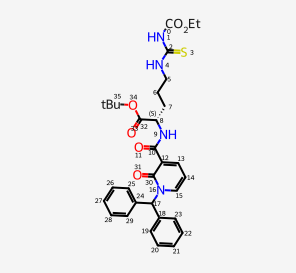 CCOC(=O)NC(=S)NCCC[C@H](NC(=O)c1cccn(C(c2ccccc2)c2ccccc2)c1=O)C(=O)OC(C)(C)C